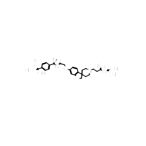 CC(C)(C)OC(=O)CCN1CCC2(CC1)COc1cc(OCc3nc(-c4ccc(C(C)(C)C)cc4)no3)ccc12